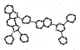 c1ccc(-c2cc(-c3ccccc3)nc(-c3ccc4cc(-c5ccc(-c6nc7ccccc7c7ccc8c(nc(-c9ccccc9)n8-c8ccccc8)c67)cc5)ccc4c3)n2)cc1